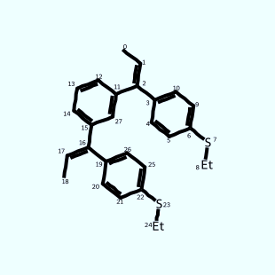 C/C=C(/c1ccc(SCC)cc1)c1cccc(/C(=C/C)c2ccc(SCC)cc2)c1